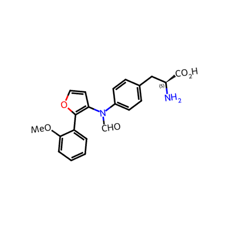 COc1ccccc1-c1occc1N(C=O)c1ccc(C[C@H](N)C(=O)O)cc1